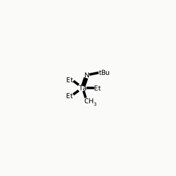 C[CH2][Ta]([CH3])([CH2]C)([CH2]C)=[N]C(C)(C)C